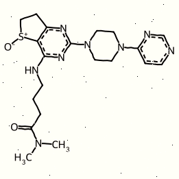 CN(C)C(=O)CCCNc1nc(N2CCN(c3ccncn3)CC2)nc2c1[S+]([O-])CC2